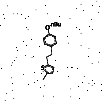 CCCCOc1ccc(CCc2ccc(C)s2)cc1